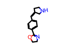 C(=C1CCNC1)c1ccc(C2=NCCO2)cc1